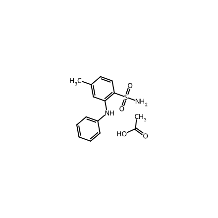 CC(=O)O.Cc1ccc(S(N)(=O)=O)c(Nc2ccccc2)c1